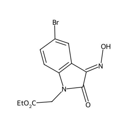 CCOC(=O)CN1C(=O)/C(=N/O)c2cc(Br)ccc21